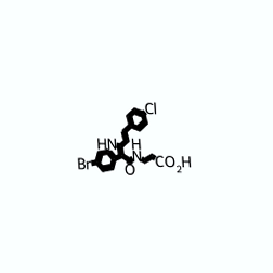 O=C(O)CCNC(=O)c1c(C=Cc2ccc(Cl)cc2)[nH]c2cc(Br)ccc12